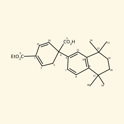 CCOC(=O)C1=CCC(C(=O)O)(c2ccc3c(c2)C(C)(C)CCC3(C)C)C=C1